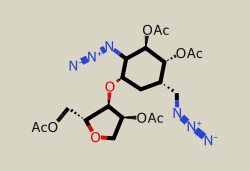 CC(=O)OC[C@H]1OC[C@H](OC(C)=O)[C@@H]1O[C@H]1C[C@@H](CN=[N+]=[N-])[C@@H](OC(C)=O)[C@H](OC(C)=O)C1N=[N+]=[N-]